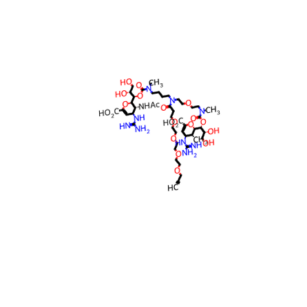 C#CCOCCOCCOCCOCCC(=O)N(CCCCN(C)C(=O)O[C@@H]([C@@H]1OC(C(=O)O)=C[C@H](NC(=N)N)[C@H]1NC(C)=O)[C@H](O)CO)CCOCCN(C)C(=O)O[C@@H]([C@@H]1OC(C(=O)O)=C[C@H](NC(=N)N)[C@H]1C)[C@H](O)CO